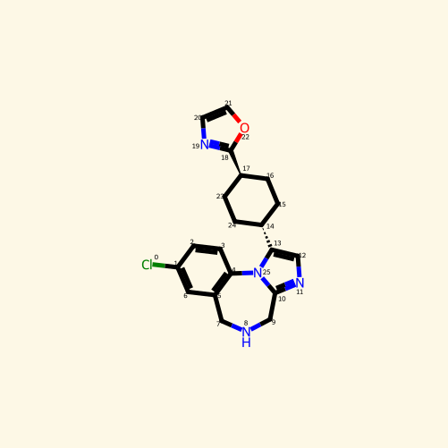 Clc1ccc2c(c1)CNCc1ncc([C@H]3CC[C@H](c4ncco4)CC3)n1-2